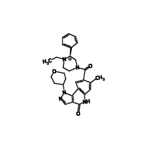 CCN1CCN(C(=O)c2cc3c(cc2C)[nH]c(=O)c2cnn(C4CCOCC4)c23)C[C@@H]1c1ccccc1